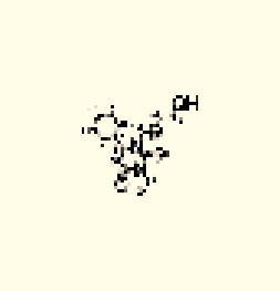 CCn1c(=O)cc(-c2ccccc2)n(COCCO)c1=S